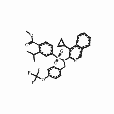 COC(=O)c1ccc(S(=O)(=O)N(Cc2ccc(OC(F)(F)F)cc2)c2ncc3ccccc3c2C2CC2)cc1C(C)C